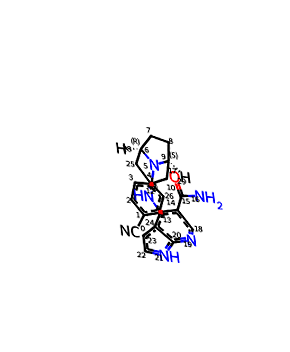 N#Cc1ccc(N2[C@@H]3CC[C@H]2C[C@H](Nc2c(C(N)=O)cnc4[nH]ccc24)C3)cc1